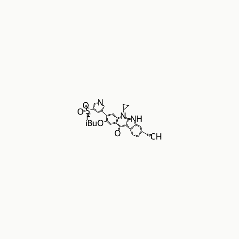 C#Cc1ccc2c(c1)[nH]c1c2c(=O)c2cc(OCC(C)C)c(-c3cncc(S(=O)(=O)F)c3)cc2n1C1CC1